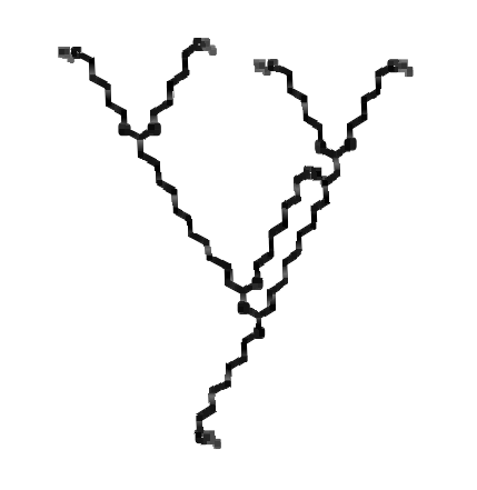 CCCCCCCCOC(C=CCCCCCCCCCC(OCCCCCC)OCCCCCC)OC(C=CCCCCCCCCCC(OCCCCCC)OCCCCCC)OCCCCCCCC